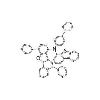 c1ccc(-c2ccc(N(c3cccc4c3sc3ccccc34)c3ccc(-c4ccccc4)c4oc5c6ccccc6c(-c6ccccc6)cc5c34)cc2)cc1